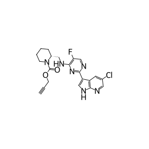 C#CCOC(=O)N1CCCC[C@@H]1CNc1nc(-c2c[nH]c3ncc(Cl)cc23)ncc1F